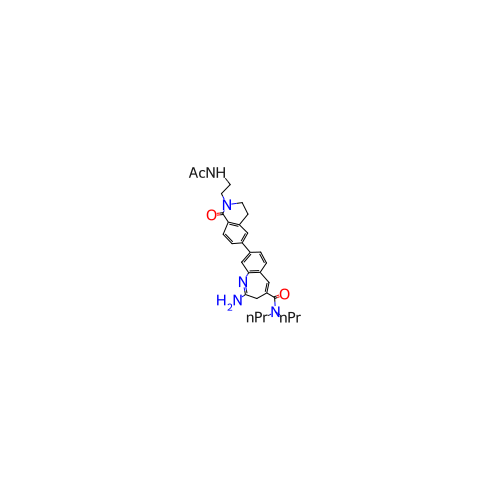 CCCN(CCC)C(=O)C1=Cc2ccc(-c3ccc4c(c3)CCN(CCNC(C)=O)C4=O)cc2N=C(N)C1